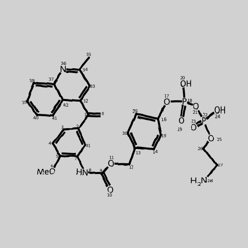 C=C(c1ccc(OC)c(NC(=O)OCc2ccc(OP(=O)(O)OP(=O)(O)OCCN)cc2)c1)c1cc(C)nc2ccccc12